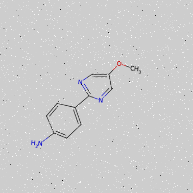 COc1cnc(-c2ccc(N)cc2)nc1